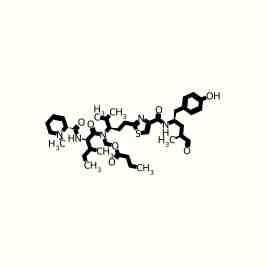 CCCC(=O)OCN(C(=O)[C@@H](NC(=O)[C@H]1C=CCCN1C)C(C)CC)[C@H](CCc1nc(C(=O)N[C@@H](Cc2ccc(O)cc2)C[C@H](C)C=O)cs1)C(C)C